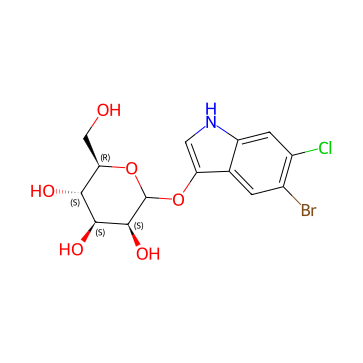 OC[C@H]1OC(Oc2c[nH]c3cc(Cl)c(Br)cc23)[C@@H](O)[C@@H](O)[C@@H]1O